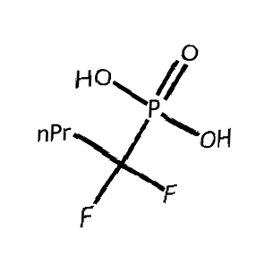 CCCC(F)(F)P(=O)(O)O